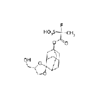 CC(F)(C(=O)OC12CC3CC(C1)C1(OCC(CO)O1)C(C3)C2)S(=O)(=O)O